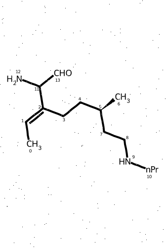 C/C=C(\CC[C@@H](C)CCNCCC)C(N)C=O